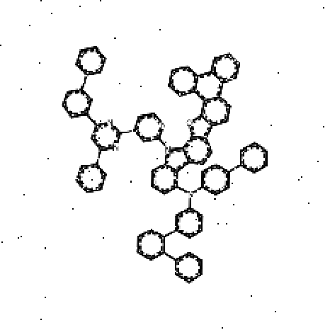 c1ccc(-c2ccc(N(c3cccc(-c4ccccc4-c4ccccc4)c3)c3cccc4c3c3ccc5c6ccc7c8ccccc8c8ccccc8c7c6oc5c3n4-c3cc(-c4nc(-c5ccccc5)cc(-c5cccc(-c6ccccc6)c5)n4)ccn3)cc2)cc1